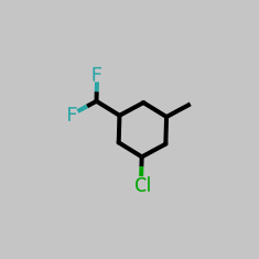 CC1CC(Cl)CC(C(F)F)C1